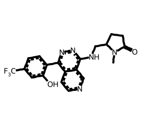 CN1C(=O)CCC1CNc1nnc(-c2ccc(C(F)(F)F)cc2O)c2ccncc12